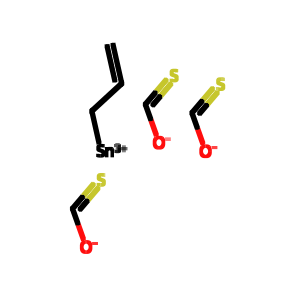 C=C[CH2][Sn+3].[O-]C=S.[O-]C=S.[O-]C=S